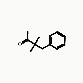 CC(=O)C(C)(C)Cc1ccccc1